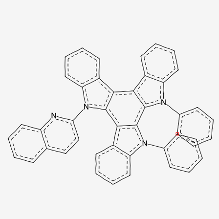 c1ccc(-n2c3ccccc3c3c4c5ccccc5n(-c5ccc6ccccc6n5)c4c4c5ccccc5n(-c5ccccc5)c4c32)cc1